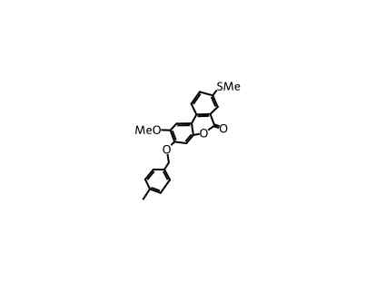 COc1cc2c(cc1OCc1ccc(C)cc1)oc(=O)c1cc(SC)ccc12